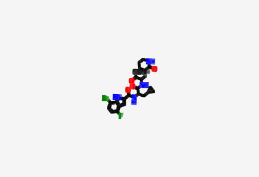 COC(=O)C(C[C@@H]1CCCNC1=O)NC(=O)C(CC1CC1)NC(=O)c1cc2c(F)ccc(Br)c2[nH]1